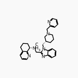 CN(Cc1nc2ccccc2n1C[C@H]1CCCN(Cc2ccccn2)C1)[C@H]1CCCc2cccnc21